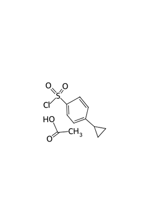 CC(=O)O.O=S(=O)(Cl)c1ccc(C2CC2)cc1